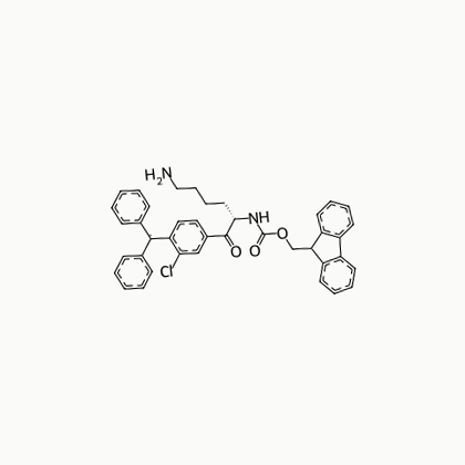 NCCCC[C@H](NC(=O)OCC1c2ccccc2-c2ccccc21)C(=O)c1ccc([C](c2ccccc2)c2ccccc2)c(Cl)c1